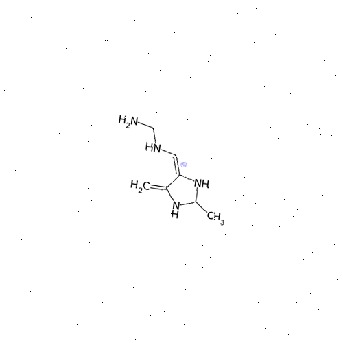 C=C1NC(C)N/C1=C/NCN